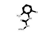 CCCCCCNC(=O)Nc1c(C)cccc1CC